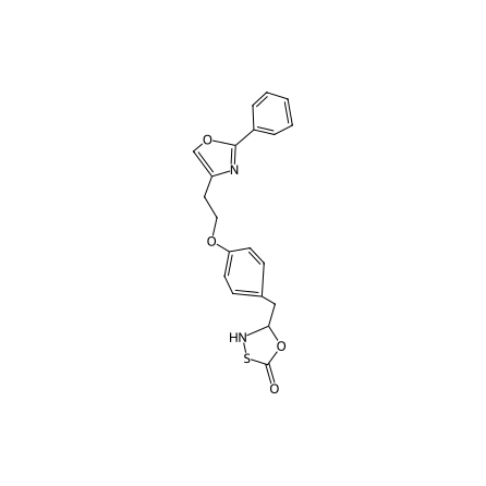 O=C1OC(Cc2ccc(OCCc3coc(-c4ccccc4)n3)cc2)NS1